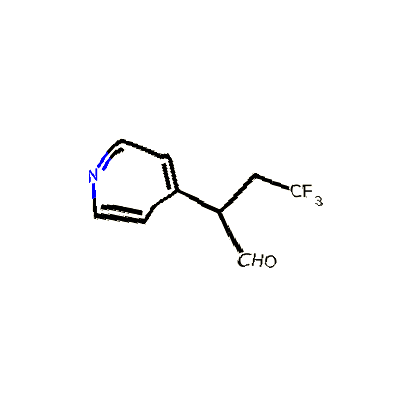 O=CC(CC(F)(F)F)c1ccncc1